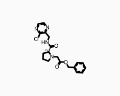 O=C(CN1CCC[C@H]1C(=O)NCc1nccnc1Cl)OCc1ccccc1